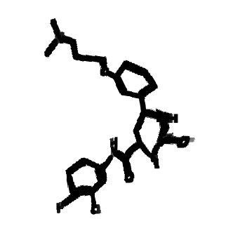 CN(C)CCCOc1cccc(C2CC(C(=O)Nc3ccc(F)c(Cl)c3)N(C)[S+]([O-])N2)c1